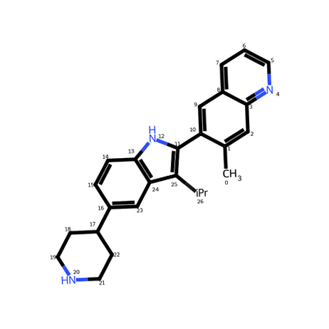 Cc1cc2ncccc2cc1-c1[nH]c2ccc(C3CCNCC3)cc2c1C(C)C